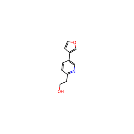 OCCc1ccc(-c2ccoc2)cn1